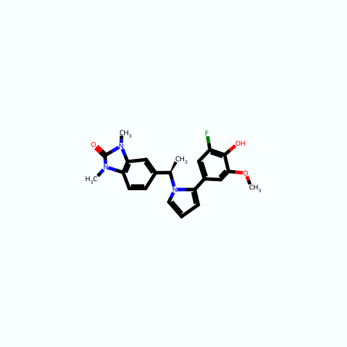 COc1cc(-c2cccn2[C@H](C)c2ccc3c(c2)n(C)c(=O)n3C)cc(F)c1O